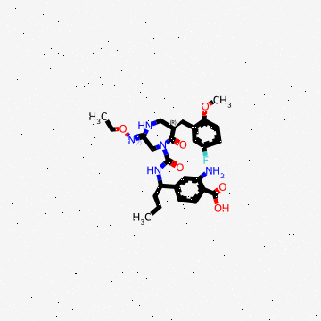 CCCC(NC(=O)N1C/C(=N/OCC)NC[C@@H](Cc2cc(F)ccc2OC)C1=O)c1ccc(C(=O)O)c(N)c1